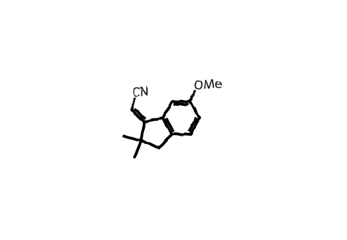 COc1ccc2c(c1)/C(=C\C#N)C(C)(C)C2